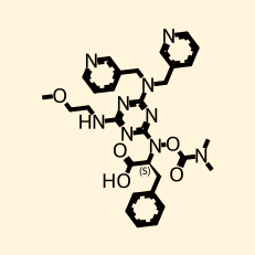 COCCNc1nc(N(Cc2cccnc2)Cc2cccnc2)nc(N(OC(=O)N(C)C)[C@@H](Cc2ccccc2)C(=O)O)n1